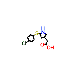 O=C(O)Cc1c[nH]c(Sc2ccc(Cl)cc2)c1